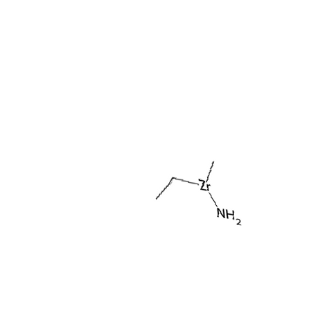 C[CH2][Zr]([CH3])[NH2]